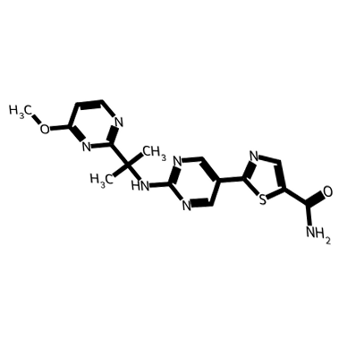 COc1ccnc(C(C)(C)Nc2ncc(-c3ncc(C(N)=O)s3)cn2)n1